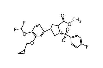 COC(=O)C1CC(c2ccc(OC(F)F)c(OCC3CC3)c2)CN1S(=O)(=O)c1ccc(F)cc1